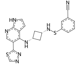 N#Cc1cccc(SN[C@H]2C[C@@H](Nc3c(-c4nncs4)cnc4[nH]ccc34)C2)c1